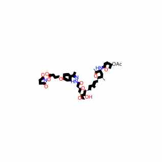 CC(=O)O[C@@H](C)/C=C\C(=O)N[C@@H]1C[C@H](C)[C@H](C/C=C(C)/C=C/[C@H]2O[C@H](CC(=O)NN=C(C)c3ccc(OCCCC(=O)ON4C(=O)CCC4=O)cc3)C[C@@]3(CO3)[C@@H]2O)O[C@@H]1C